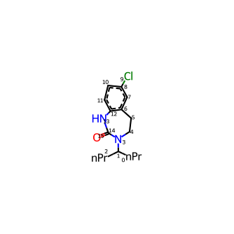 CCCC(CCC)N1CCc2cc(Cl)ccc2NC1=O